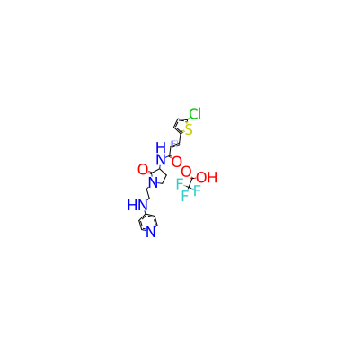 O=C(/C=C/c1ccc(Cl)s1)NC1CCN(CCNc2ccncc2)C1=O.O=C(O)C(F)(F)F